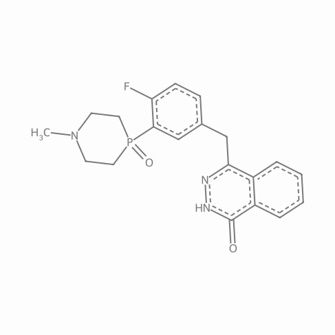 CN1CCP(=O)(c2cc(Cc3n[nH]c(=O)c4ccccc34)ccc2F)CC1